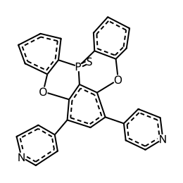 S=P12c3ccccc3Oc3c(-c4ccncc4)cc(-c4ccncc4)c(c31)Oc1ccccc12